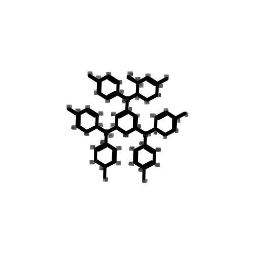 CC1=CCC(B(C2=CC(B(c3ccc(C)cc3)C3CCC(C)=C[C@@H]3C)=CC(B(C3=CCC(C)C=C3)C3C=CC(C)=CC3)C2)c2ccc(C)cc2)C=C1